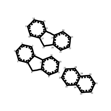 c1ccc2c(c1)Cc1ccccc1-2.c1ccc2c(c1)Cc1ccccc1-2.c1ccc2ccccc2c1